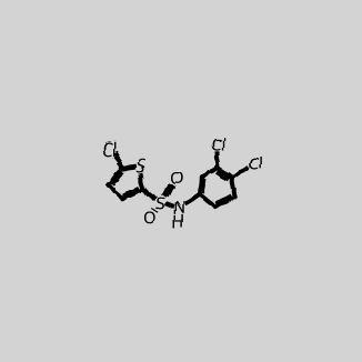 O=S(=O)(Nc1ccc(Cl)c(Cl)c1)c1ccc(Cl)s1